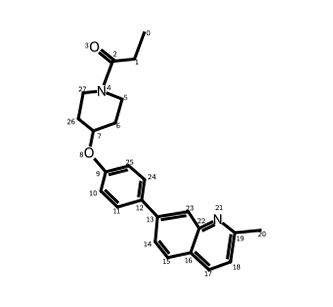 CCC(=O)N1CCC(Oc2ccc(-c3ccc4ccc(C)nc4c3)cc2)CC1